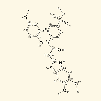 CCS(=O)(=O)c1ccc(C(Oc2ccc(OC)cc2)C(=O)Nc2nc3cc(OC)c(OC)cc3s2)cc1